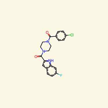 O=C(c1ccc(Cl)cc1)N1CCN(C(=O)c2cc3ccc(F)cc3[nH]2)CC1